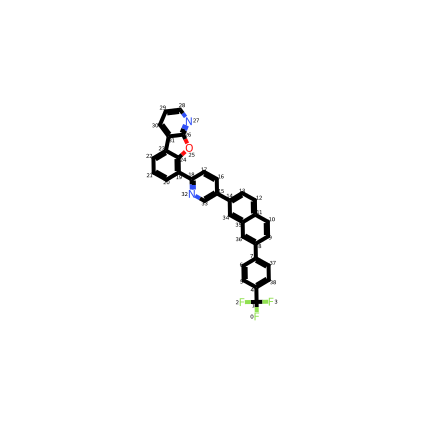 FC(F)(F)c1ccc(-c2ccc3ccc(-c4ccc(-c5cccc6c5oc5ncccc56)nc4)cc3c2)cc1